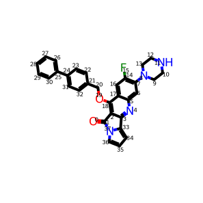 O=C1c2c(nc3cc(N4CCNCC4)c(F)cc3c2OCc2ccc(-c3ccccc3)cc2)-c2cccn21